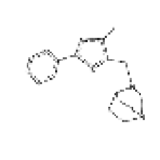 Cc1cc(-c2ccccc2)sc1CN1CCN2CCC1CC2